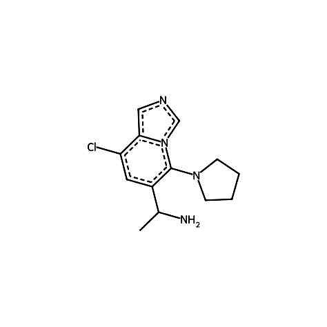 CC(N)c1cc(Cl)c2cncn2c1N1CCCC1